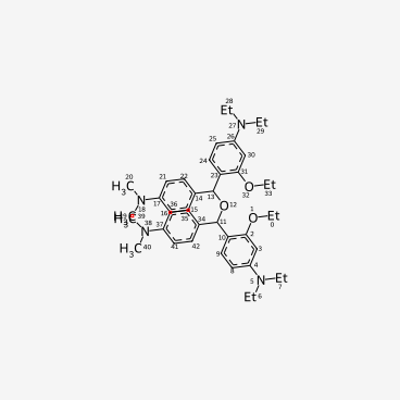 CCOc1cc(N(CC)CC)ccc1C(OC(c1ccc(N(C)C)cc1)c1ccc(N(CC)CC)cc1OCC)c1ccc(N(C)C)cc1